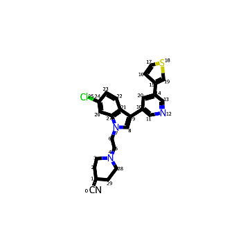 N#CC1CCN(CCn2cc(-c3cncc(-c4ccsc4)c3)c3ccc(Cl)cc32)CC1